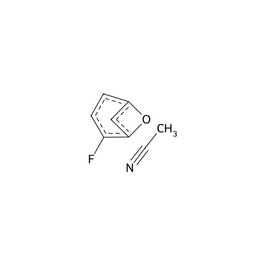 CC#N.Fc1ccc2cc1O2